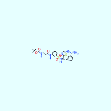 CC(C)(C)OC(=O)NCCC(=O)Nc1cccc(S(=O)(=O)N[C@@H](Cc2cccc(C(=N)N)c2)c2nccs2)c1